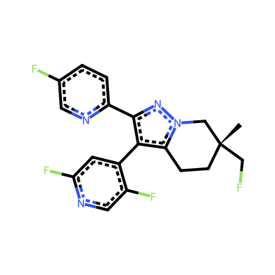 C[C@@]1(CF)CCc2c(-c3cc(F)ncc3F)c(-c3ccc(F)cn3)nn2C1